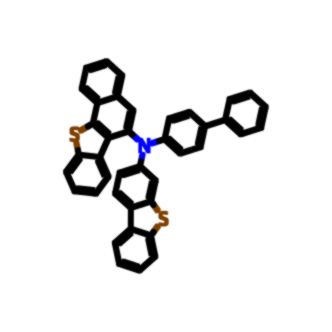 c1ccc(-c2ccc(N(c3ccc4c(c3)sc3ccccc34)c3cc4ccccc4c4sc5ccccc5c34)cc2)cc1